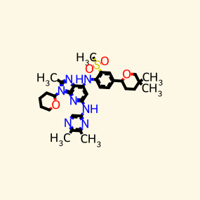 Cc1ncc(Nc2cc(Nc3ccc(C4CCC(C)(C)CO4)cc3S(C)(=O)=O)c3nc(C)n(C4CCCCO4)c3n2)nc1C